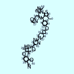 CCc1csc2c1C(c1ccc(OC3CC4(CCN(c5ncc(C(=O)NC6C(C)(C)C(Oc7ccc(C#N)c(OC)c7)C6(C)C)cn5)CC4)C3)cc1)=N[C@@H](Cc1ncco1)c1nnc(C)n1-2